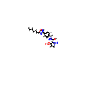 CCCCCCc1nc(-c2ccc(CNC(=O)[C@H]3NCC[C@@H]3O)cc2)no1